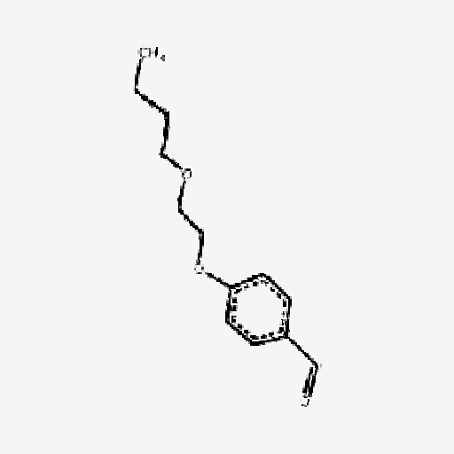 CCCCOCCOc1ccc([C]=O)cc1